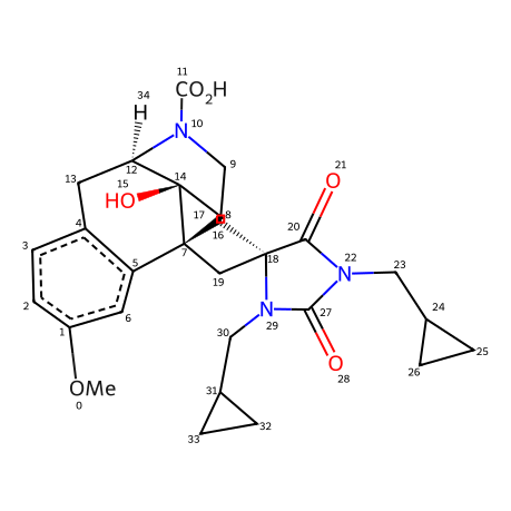 COc1ccc2c(c1)[C@]13CCN(C(=O)O)[C@H](C2)[C@]1(O)CC[C@]1(C3)C(=O)N(CC2CC2)C(=O)N1CC1CC1